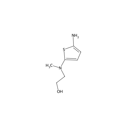 CN(CCO)c1ccc(N)s1